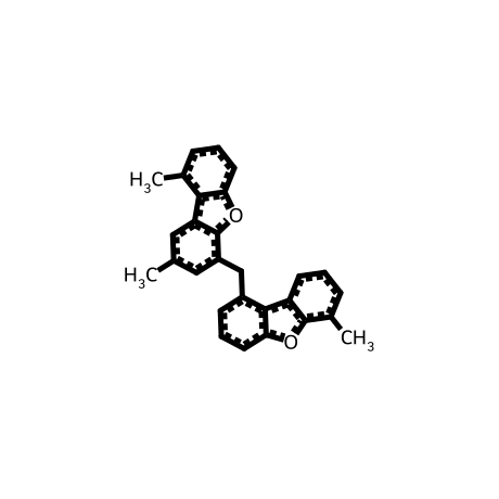 Cc1cc(Cc2cccc3oc4c(C)cccc4c23)c2oc3cccc(C)c3c2c1